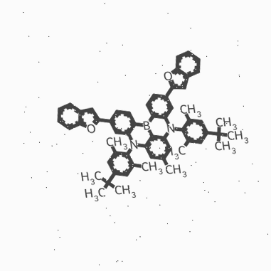 Cc1cc2c3c(c1)N(c1c(C)cc(C(C)(C)C)cc1C)c1cc(-c4cc5ccccc5o4)ccc1B3c1ccc(-c3cc4ccccc4o3)cc1N2c1c(C)cc(C(C)(C)C)cc1C